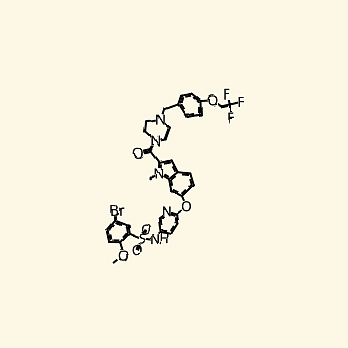 COc1ccc(Br)cc1S(=O)(=O)Nc1ccc(Oc2ccc3cc(C(=O)N4CCN(Cc5ccc(OCC(F)(F)F)cc5)CC4)n(C)c3c2)nc1